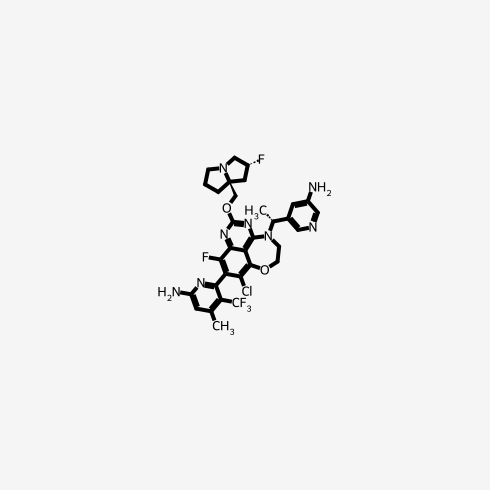 Cc1cc(N)nc(-c2c(Cl)c3c4c(nc(OC[C@@]56CCCN5C[C@H](F)C6)nc4c2F)N([C@H](C)c2cncc(N)c2)CCO3)c1C(F)(F)F